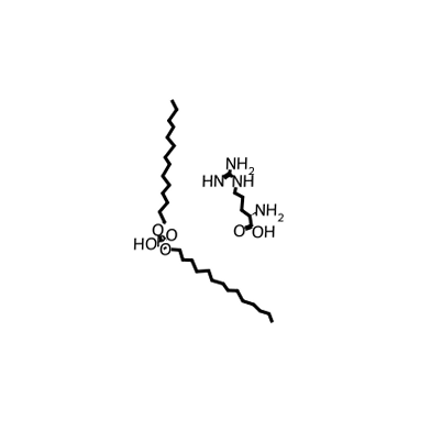 CCCCCCCCCCCCCCOP(=O)(O)OCCCCCCCCCCCCCC.N=C(N)NCCC[C@H](N)C(=O)O